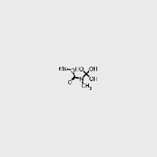 CN(C(=O)OC(C)(C)C)C(O)(O)O